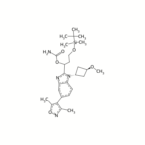 CO[C@H]1C[C@H](n2c(C(CCO[Si](C)(C)C(C)(C)C)OC(N)=O)nc3cc(-c4c(C)noc4C)ccc32)C1